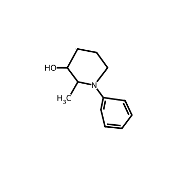 CC1C(O)[CH]CCN1c1ccccc1